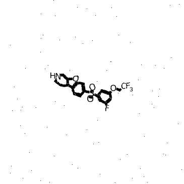 O=S(=O)(c1cc(F)cc(OCC(F)(F)F)c1)c1ccc2c(c1)OC1CNCCC21